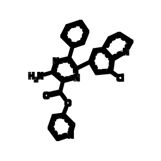 Nc1nc(-c2ccccc2)c(-c2cc(Cl)c3ncccc3c2)nc1C(=O)Oc1cccnc1